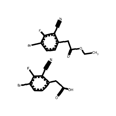 CCOC(=O)Cc1ccc(Br)c(F)c1C#N.N#Cc1c(CC(=O)O)ccc(Br)c1F